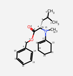 CC(C)C[C@@H](C(=O)OCc1ccccc1)N(C)C1=CCCCC1